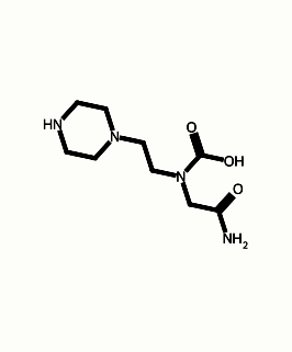 NC(=O)CN(CCN1CCNCC1)C(=O)O